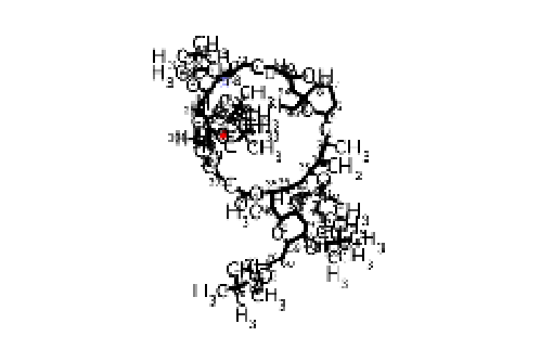 C=C1C(C)CC2CC[C@@H]3O[C@@H](CCC/C=C/C(O[Si](C)(C)C(C)(C)C)C4O[C@H]5CCC(CC(=O)OC6C(CC1O[Si](CC)(CC)CC)OC1CC(O[Si](C)(C)C(C)(C)C)C(CCO[Si](C)(C)C(C)(C)C)OC1[C@@H]6C)OC5C(O[Si](C)(C)C(C)(C)C)C4O[Si](C)(C)C(C)(C)C)CC3(CI)O2